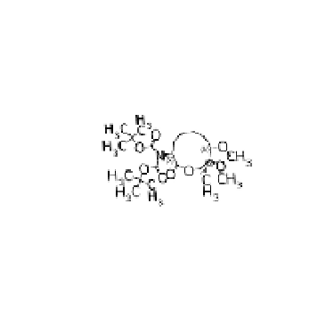 CO[C@H]1[C@H](C)OC(=O)[C@@H](N(C(=O)OC(C)(C)C)C(=O)OC(C)(C)C)CCCC[C@@H]1OC